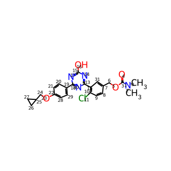 CN(C)C(=O)OCc1ccc(Cl)c(-c2nc(O)nc(-c3ccc(OCC4CC4)cc3)n2)c1